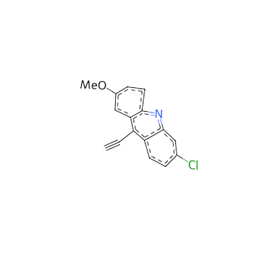 C#Cc1c2ccc(Cl)cc2nc2ccc(OC)cc12